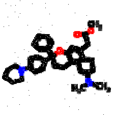 COC(=O)Cc1cc2c(c3cc(N(C)C)ccc13)C=CC(c1ccccc1)(c1ccc(N3CCCCC3)cc1)O2